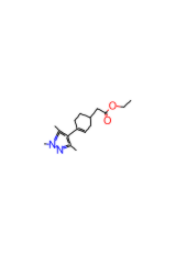 CCOC(=O)CC1CC=C(c2c(C)nn(C)c2C)CC1